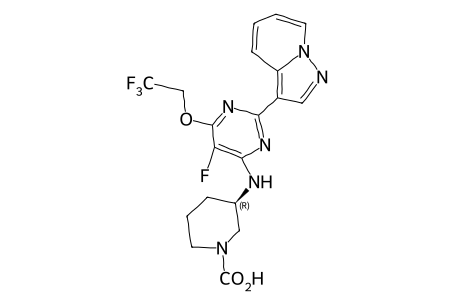 O=C(O)N1CCC[C@@H](Nc2nc(-c3cnn4ccccc34)nc(OCC(F)(F)F)c2F)C1